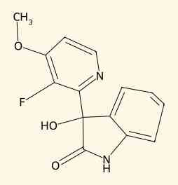 COc1ccnc(C2(O)C(=O)Nc3ccccc32)c1F